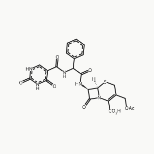 CC(=O)OCC1=C(C(=O)O)N2C(=O)[C@@H](NC(=O)C(NC(=O)c3c[nH]c(=O)[nH]c3=O)c3ccccc3)[C@H]2SC1